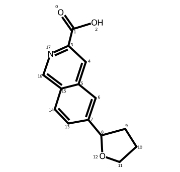 O=C(O)c1cc2cc(C3CCCO3)ccc2cn1